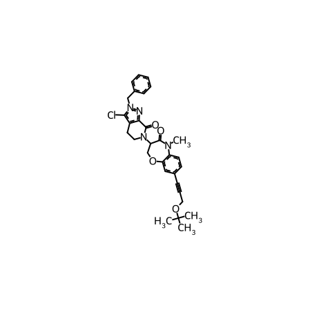 CN1C(=O)C(N2CCc3c(nn(Cc4ccccc4)c3Cl)C2=O)COc2cc(C#CCOC(C)(C)C)ccc21